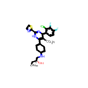 COC[C@@H](O)CNC1CCC(C2=C(C(=O)O)C(c3ccc(F)c(F)c3Cl)N=C(c3nccs3)N2)CC1